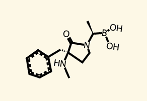 CN[C@]1(Cc2ccccc2)CCN([C@@H](C)B(O)O)C1=O